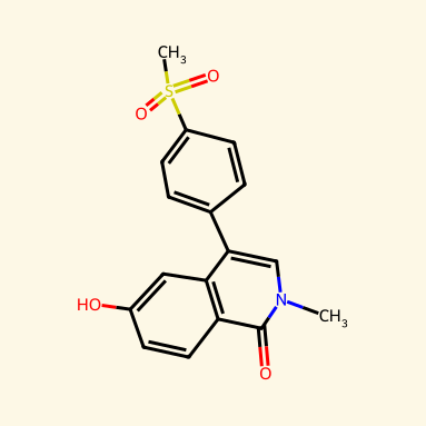 Cn1cc(-c2ccc(S(C)(=O)=O)cc2)c2cc(O)ccc2c1=O